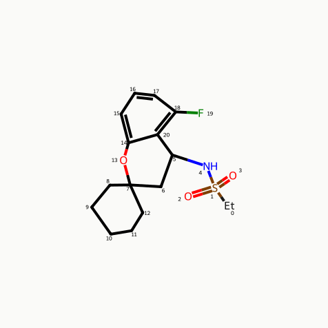 CCS(=O)(=O)NC1CC2(CCCCC2)Oc2cccc(F)c21